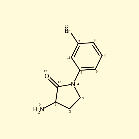 NC1CCN(c2cccc(Br)c2)C1=O